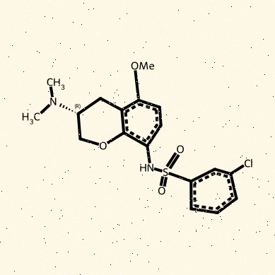 COc1ccc(NS(=O)(=O)c2cccc(Cl)c2)c2c1C[C@@H](N(C)C)CO2